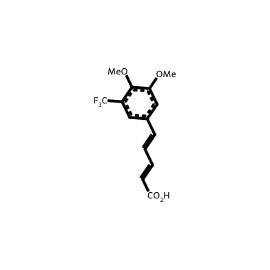 COc1cc(C=CC=CC(=O)O)cc(C(F)(F)F)c1OC